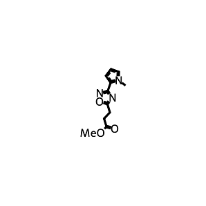 COC(=O)CCc1nc(-c2cccn2C)no1